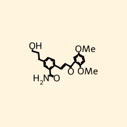 COc1ccc(OC)c(C(=O)C=Cc2ccc(CCCO)cc2C(N)=O)c1